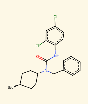 CC(C)(C)[C@H]1CC[C@H](N(Cc2ccccc2)C(=O)Nc2ccc(Cl)cc2Cl)CC1